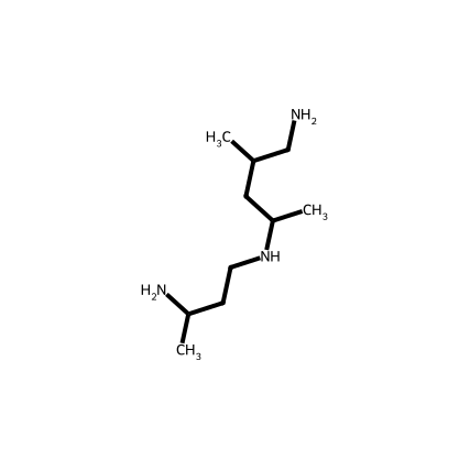 CC(N)CCNC(C)CC(C)CN